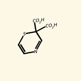 O=C(O)C1(C(=O)O)C=NC=CS1